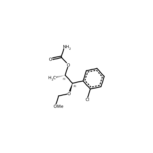 COCO[C@H](c1ccccc1Cl)[C@H](C)OC(N)=O